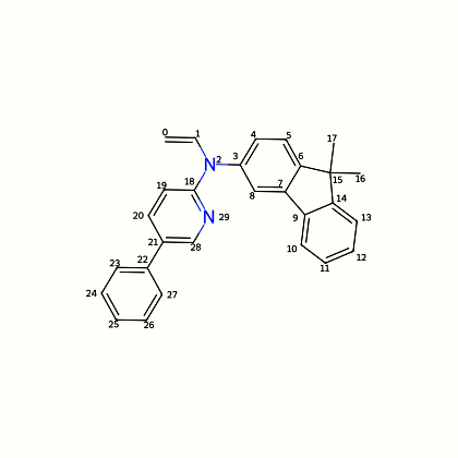 C=CN(c1ccc2c(c1)-c1ccccc1C2(C)C)c1ccc(-c2ccccc2)cn1